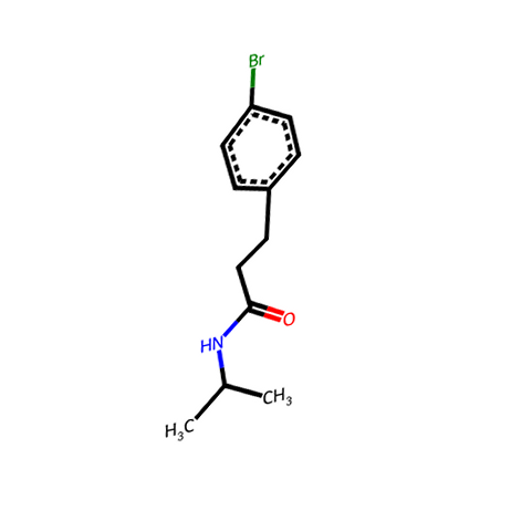 CC(C)NC(=O)CCc1ccc(Br)cc1